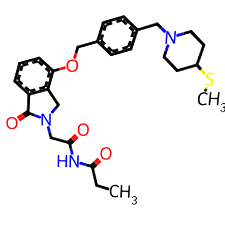 CCC(=O)NC(=O)CN1Cc2c(OCc3ccc(CN4CCC(SC)CC4)cc3)cccc2C1=O